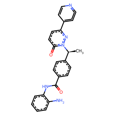 C[C@@H](c1ccc(C(=O)Nc2ccccc2N)cc1)n1nc(C2=C=C=NC=C2)ccc1=O